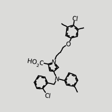 Cc1cccc(N(Cc2ccccc2Cl)c2cc(C(=O)O)n(CCCOc3cc(C)c(Cl)c(C)c3)c2)c1